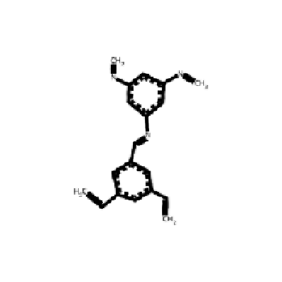 C=Cc1cc(C=C)cc(C=Nc2cc(N=C)cc(N=C)c2)c1